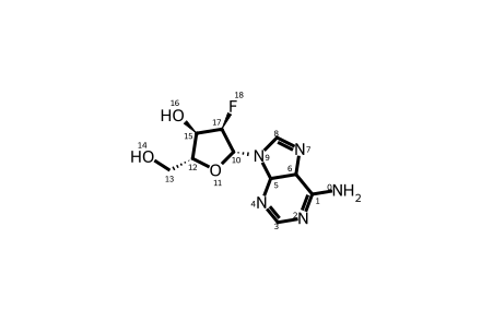 NC1=NC=NC2C1N=CN2[C@@H]1O[C@H](CO)[C@@H](O)[C@H]1F